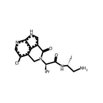 CC(C)[C@H](C(=O)N[C@H](I)CN)N1Cc2c(Cl)cnc3[nH]cc(c23)C1=O